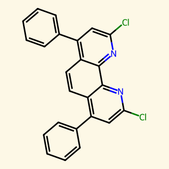 Clc1cc(-c2ccccc2)c2ccc3c(-c4ccccc4)cc(Cl)nc3c2n1